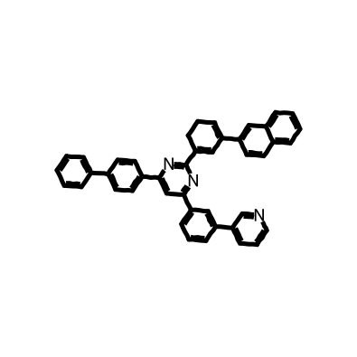 C1=C(c2ccc3ccccc3c2)C=C(c2nc(-c3ccc(-c4ccccc4)cc3)cc(-c3cccc(-c4cccnc4)c3)n2)CC1